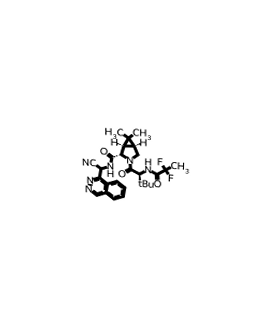 CC(F)(F)C(=O)N[C@H](C(=O)N1C[C@H]2[C@@H]([C@H]1C(=O)NC(C#N)c1nncc3ccccc13)C2(C)C)C(C)(C)C